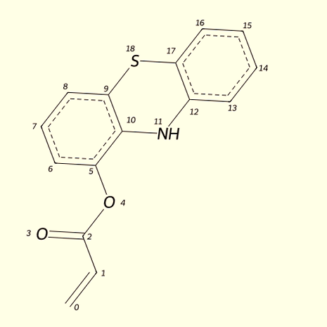 C=CC(=O)Oc1cccc2c1Nc1ccccc1S2